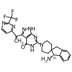 C=C(c1ccnc(C(F)(F)F)n1)c1n[nH]c2nc(N3CCC4(CC3)Cc3ccccc3[C@H]4N)[nH]c(=O)c12